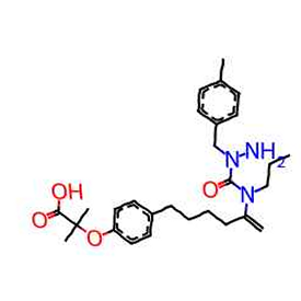 C=C(CCCCc1ccc(OC(C)(C)C(=O)O)cc1)N(CCC)C(=O)N(N)Cc1ccc(C)cc1